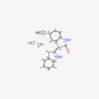 Cl.Cl.O=C1Nc2ccc(C(=O)O)cc2C1=C1Cc2ccccc2N1